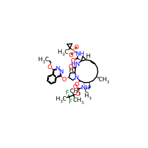 CCOc1nnc(O[C@@H]2C[C@H]3C(=O)N[C@]4(C(=O)NS(=O)(=O)C5(C)CC5)C[C@H]4/C=C\CC[C@@H](C)C[C@@H](CC)[C@H](NC(=O)OC(C)(C)C(C)(F)F)C(=O)N3C2)c2ccccc12